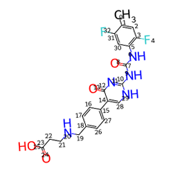 Cc1cc(F)c(NC(=O)Nc2nc(=O)c(-c3ccc(CNCCC(=O)O)cc3)c[nH]2)cc1F